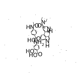 CC(=O)Nc1ccc(C(=O)O)cc1.CCN(CC)C(=O)[C@@H]1C=C2c3cccc4[nH]cc(c34)C[C@H]2N(C)C1.Nc1ccc(C(=O)O)c(O)c1